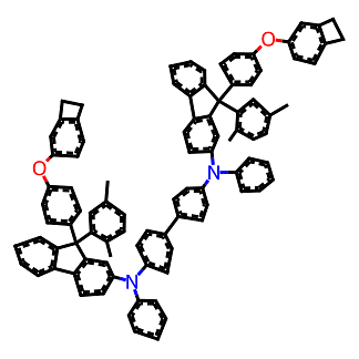 Cc1ccc(C)c(C2(c3ccc(Oc4ccc5c(c4)CC5)cc3)c3ccccc3-c3ccc(N(c4ccccc4)c4ccc(-c5ccc(N(c6ccccc6)c6ccc7c(c6)C(c6ccc(Oc8ccc9c(c8)CC9)cc6)(c6cc(C)ccc6C)c6ccccc6-7)cc5)cc4)cc32)c1